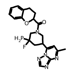 Cc1cc(C2CN(C(=O)C3CCc4ccccc4O3)CC(F)(P)C2)n2ncnc2n1